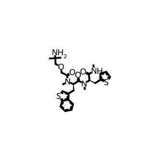 CNC(=O)[C@@H](Cc1cccs1)N(C)C(=O)[C@@H](Cc1csc2ccccc12)N(C)C(=O)COCC(C)(C)N